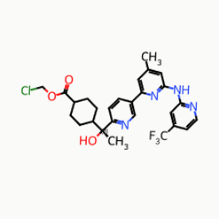 Cc1cc(Nc2cc(C(F)(F)F)ccn2)nc(-c2ccc([C@](C)(O)C3CCC(C(=O)OCCl)CC3)nc2)c1